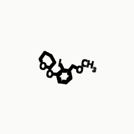 COCc1cccc(OC2CCCCO2)c1I